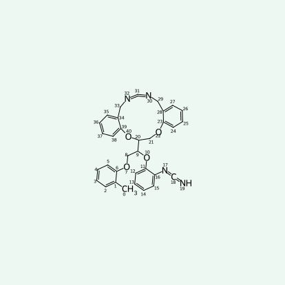 Cc1ccccc1OCC(Oc1ccccc1N=C=N)C1COc2ccccc2CN=C=NCc2ccccc2O1